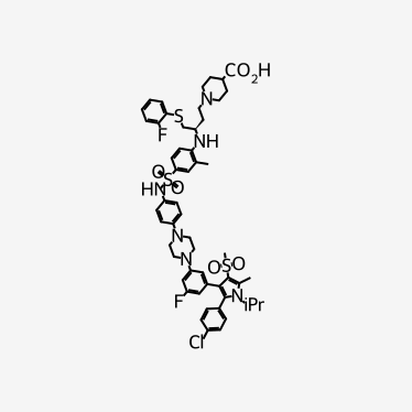 Cc1cc(S(=O)(=O)Nc2ccc(N3CCN(c4cc(F)cc(-c5c(S(C)(=O)=O)c(C)n(C(C)C)c5-c5ccc(Cl)cc5)c4)CC3)cc2)ccc1N[C@H](CCN1CCC(C(=O)O)CC1)CSc1ccccc1F